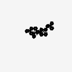 CCCCCCC1(CCCCCC)c2ccccc2-c2ccc(N(c3ccccc3)c3cccc(-c4cccc(-c5cccc(N(c6cccc(-c7ccccc7)c6)c6cccc(-c7cccc(-c8cccc(N(c9ccccc9)c9ccccc9)c8)c7)c6)c5)c4)c3)cc21